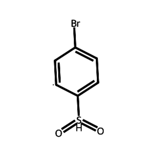 O=[SH](=O)c1[c]cc(Br)cc1